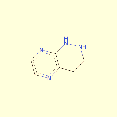 c1cnc2c(n1)CCNN2